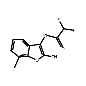 Cc1cccc2c(NC(=O)C(F)F)c(C#N)oc12